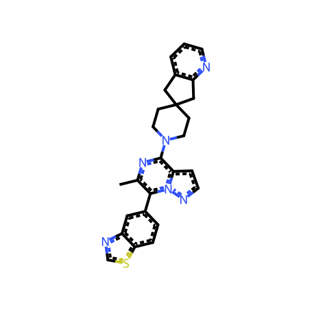 Cc1nc(N2CCC3(CC2)Cc2cccnc2C3)c2ccnn2c1-c1ccc2scnc2c1